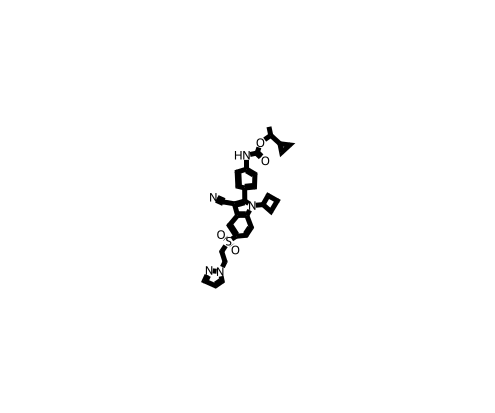 CC(OC(=O)Nc1ccc(-c2c(C#N)c3cc(S(=O)(=O)CCn4cccn4)ccc3n2C2CCC2)cc1)C1CC1